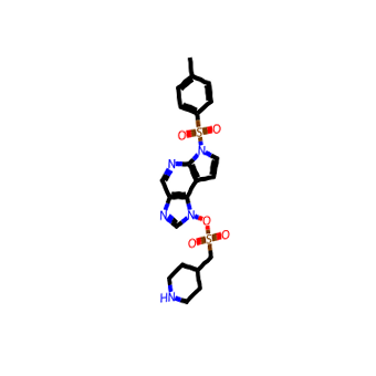 Cc1ccc(S(=O)(=O)n2ccc3c4c(cnc32)ncn4OS(=O)(=O)CC2CCNCC2)cc1